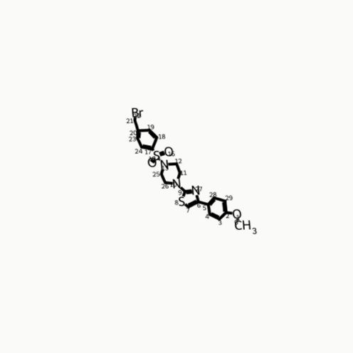 COc1ccc(-c2csc(N3CCN(S(=O)(=O)c4ccc(CBr)cc4)CC3)n2)cc1